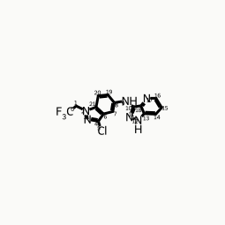 FC(F)(F)Cn1nc(Cl)c2cc(Nc3n[nH]c4cccnc34)ccc21